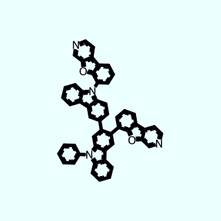 c1ccc(-n2c3ccccc3c3cc(-c4cccc5c4oc4cnccc45)c(-c4ccc5c(c4)c4ccccc4n5-c4cccc5c4oc4cnccc45)cc32)cc1